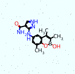 CC1=C(C)c2cc(Nc3n[nH]cc3C(N)=O)cc(C)c2OB1O